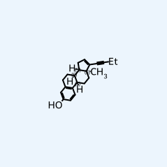 CCC#CC1=CC[C@H]2[C@@H]3CCc4cc(O)ccc4[C@H]3CC[C@]12C